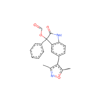 Cc1noc(C)c1-c1ccc2c(c1)C(OC=O)(c1ccccc1)C(=O)N2